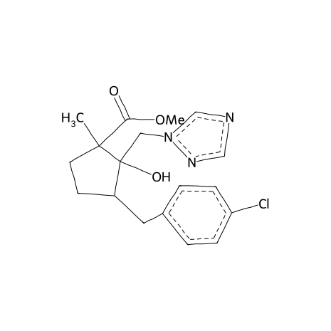 COC(=O)C1(C)CCC(Cc2ccc(Cl)cc2)C1(O)Cn1cncn1